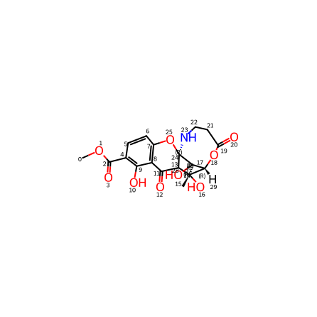 COC(=O)c1ccc2c(c1O)C(=O)C1[C@@](C)(O)[C@H]3OC(=O)CCN[C@]1(O2)[C@]3(C)O